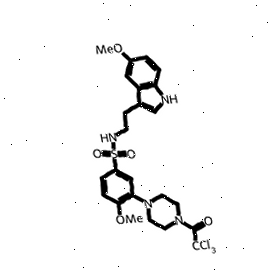 COc1ccc2[nH]cc(CCNS(=O)(=O)c3ccc(OC)c(N4CCN(C(=O)C(Cl)(Cl)Cl)CC4)c3)c2c1